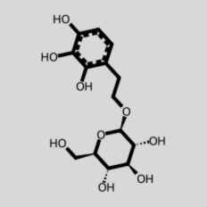 OC[C@H]1O[C@@H](OCCc2ccc(O)c(O)c2O)[C@H](O)[C@@H](O)[C@@H]1O